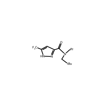 CC(C)N(CC(C)(C)C)C(=O)c1cc(C(F)(F)F)[nH]n1